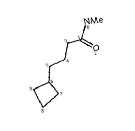 CNC(=O)CCCC1CCC1